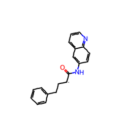 O=C([CH]CCc1ccccc1)Nc1ccc2ncccc2c1